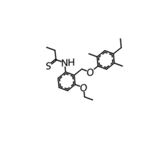 CCOc1cccc(NC(=S)CC)c1COc1cc(C)c(CC)cc1C